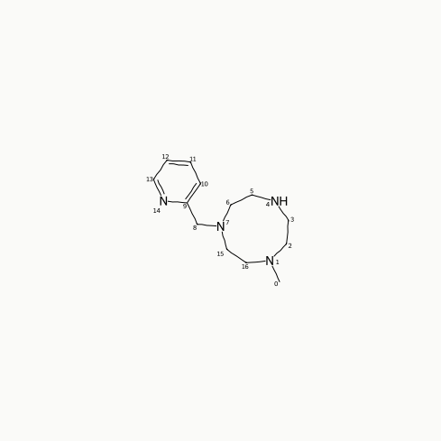 CN1CCNCCN(Cc2ccccn2)CC1